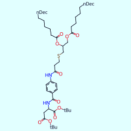 CCCCCCCCCCCCCCCC(=O)OCC(CSCCC(=O)Nc1ccc(C(=O)NC(CC(=O)OC(C)(C)C)C(=O)OC(C)(C)C)cc1)OC(=O)CCCCCCCCCCCCCCC